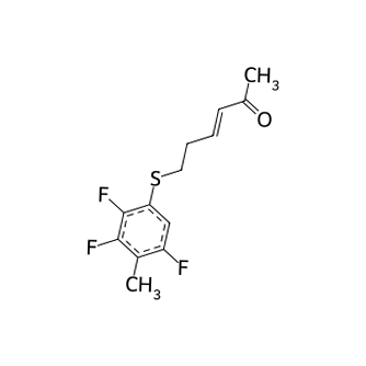 CC(=O)C=CCCSc1cc(F)c(C)c(F)c1F